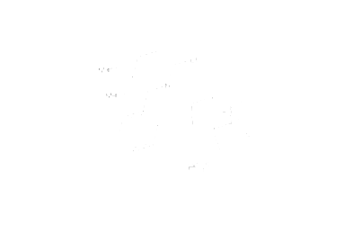 CC1(C)C2CCC1(CS(=O)(=O)O)C(=O)C2.CCC1=NC(c2ccccc2)C(OC)(OC)CC1